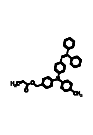 C=CC(=O)OCc1ccc(N(c2ccc(C)cc2)c2ccc(C=C(c3ccccc3)c3ccccc3)cc2)cc1